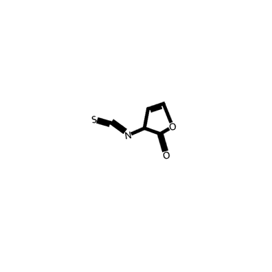 O=C1OC=CC1N=C=S